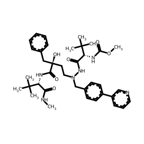 CNC(=O)[C@@H](NC(=O)[C@@](O)(CCN(Cc1ccc(-c2cccnc2)cc1)NC(=O)[C@@H](NC(=O)OC)C(C)(C)C)Cc1ccccc1)C(C)(C)C